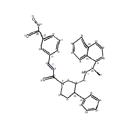 C[C@@H](NCC1CN(C(=O)/C=C/c2cccc(C(=O)N=O)c2)CCC1c1ccccc1)c1cccc2ccccc12